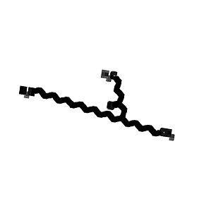 CCCCCCC(CCCCCCCCCCCCN)CC(=O)CCCC